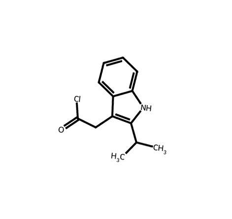 CC(C)c1[nH]c2ccccc2c1CC(=O)Cl